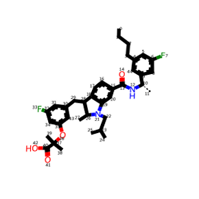 CCCCc1cc(F)cc([C@H](C)NC(=O)c2ccc3c(c2)N(CC(C)C)C(C)C3Cc2cc(F)cc(OC(C)(C)C(=O)O)c2)c1